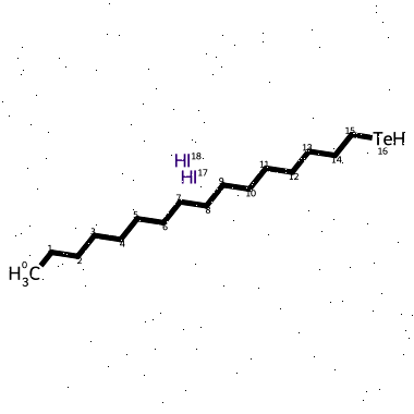 CCCCCCCCCCCCCCCC[TeH].I.I